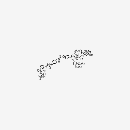 CC[C@H](C(=O)N1CCCC[C@H]1C(=O)O[C@H](CCc1ccc(OC)c(OC)c1)c1ccc(OCC(=O)NCc2ccc(CNC(=O)COc3cccc4c3C(=O)N(C3CCC(=O)NC3=O)C4=O)cc2)cc1)c1cc(OC)c(OC)c(OC)c1